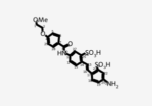 COCCOc1ccc(C(=O)Nc2ccc(C=Cc3ccc(N)cc3S(=O)(=O)O)c(S(=O)(=O)O)c2)cc1